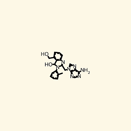 Cc1ccccc1N1C(Cn2cnc3c(N)ncnc32)=Nc2cccc(CO)c2C1O